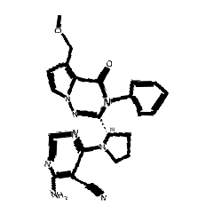 COCc1ccn2nc([C@@H]3CCCN3c3ncnc(N)c3C#N)n(-c3ccccc3)c(=O)c12